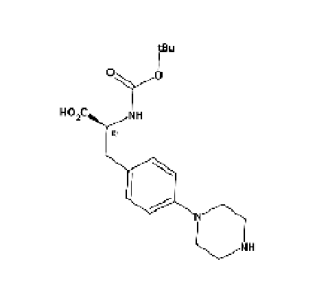 CC(C)(C)OC(=O)N[C@@H](Cc1ccc(N2CCNCC2)cc1)C(=O)O